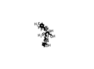 CO[C@@H]1[C@@H](n2cc(-c3ccc(C)c(F)c3F)nn2)[C@@H](O)[C@@H](CO)O[C@@H]1Cc1cn(C2(CO)CCC2)nn1